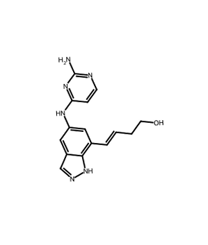 Nc1nccc(Nc2cc(/C=C/CCO)c3[nH]ncc3c2)n1